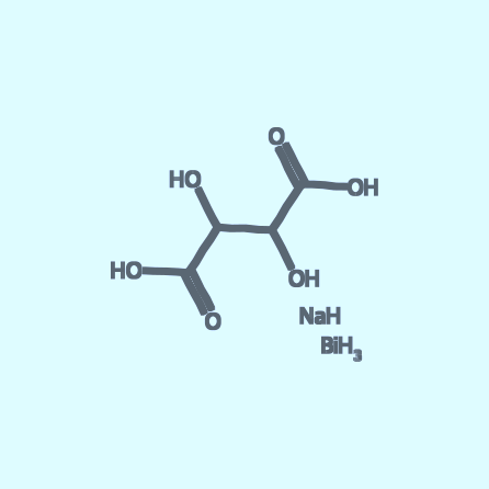 O=C(O)C(O)C(O)C(=O)O.[BiH3].[NaH]